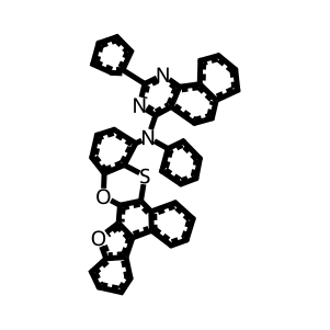 c1ccc(-c2nc(N(c3ccccc3)c3cccc4c3Sc3c(c5oc6ccccc6c5c5ccccc35)O4)c3ccc4ccccc4c3n2)cc1